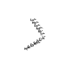 [Cr+3].[Dy+3].[Er+3].[Eu+3].[Hf+4].[Ho+3].[Li+].[Lu+3].[Nd+3].[Rb+].[Sm+3].[Ti+4].[Zr+4]